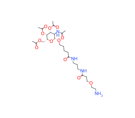 CC(=O)N[C@H]1[C@H](OCCCCC(=O)NCCCNC(=O)CCOCCN)O[C@H](COC(C)=O)[C@H](OC(C)=O)[C@@H]1OC(C)=O